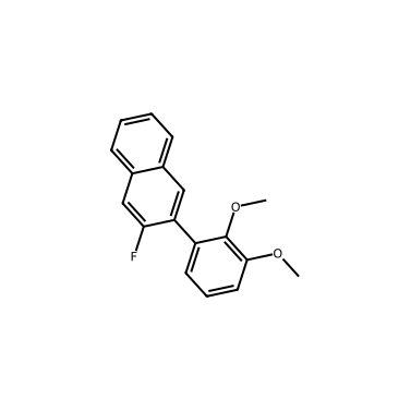 COc1cccc(-c2cc3ccccc3cc2F)c1OC